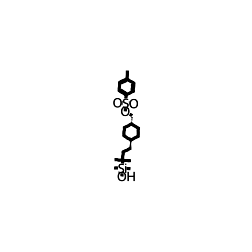 Cc1ccc(S(=O)(=O)OC[C@H]2CC[C@H](CCC(C)(C)[Si](C)(C)O)CC2)cc1